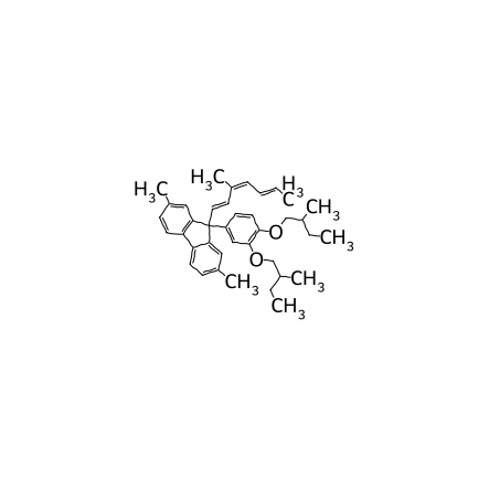 C/C=C/C=C(C)\C=C\C1(c2ccc(OCC(C)CC)c(OCC(C)CC)c2)c2cc(C)ccc2-c2ccc(C)cc21